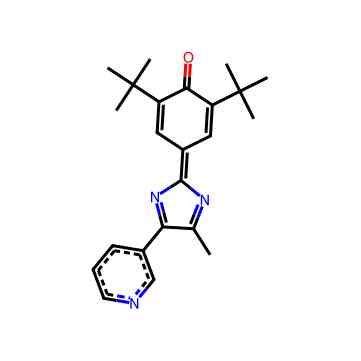 CC1=NC(=C2C=C(C(C)(C)C)C(=O)C(C(C)(C)C)=C2)N=C1c1cccnc1